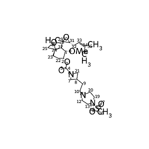 CO[C@@H]1[C@H](OC(=O)N2CC(CCN3CCN(S(C)(=O)=O)CC3)C2)CC[C@]2(CO2)[C@H]1[C@@]1(C)O[C@@H]1CC=C(C)C